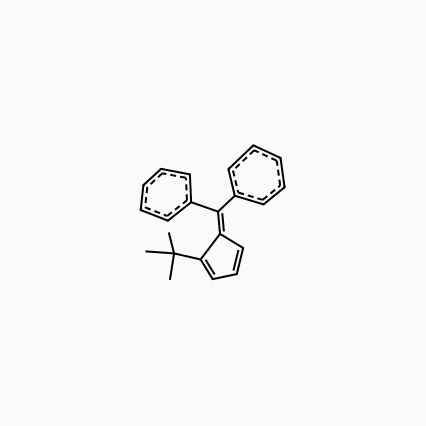 CC(C)(C)C1=CC=CC1=C(c1ccccc1)c1ccccc1